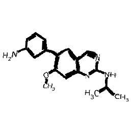 COc1cc2nc(NC(C)C)ncc2cc1-c1cccc(N)c1